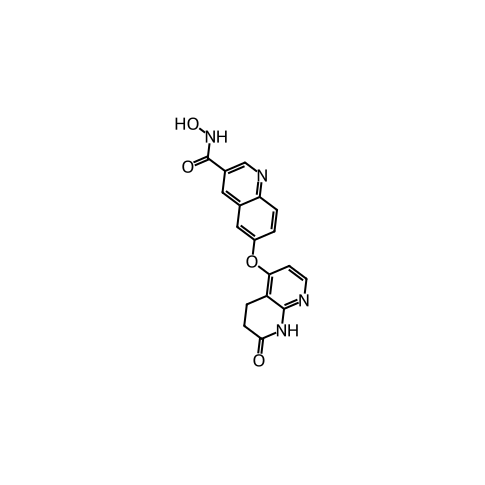 O=C1CCc2c(Oc3ccc4ncc(C(=O)NO)cc4c3)ccnc2N1